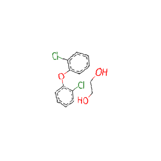 Clc1ccccc1Oc1ccccc1Cl.OCCO